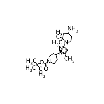 Cc1cc(N2CCC(N)CC2(C)C)nn1C1CCN(C(=O)OC(C)(C)C)CC1